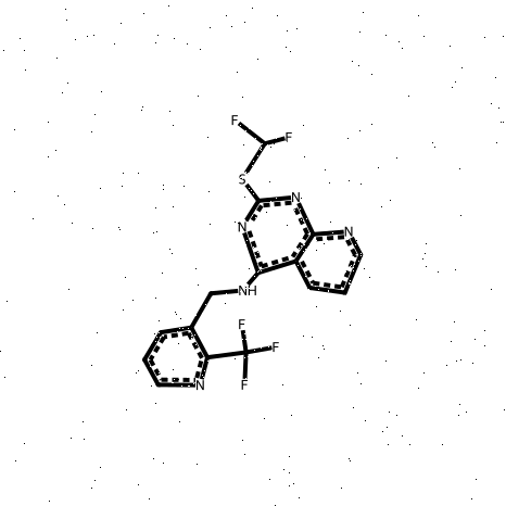 FC(F)Sc1nc(NCc2cccnc2C(F)(F)F)c2cccnc2n1